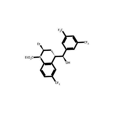 CCOC(=O)N1c2ccc(C(F)(F)F)cc2[C@@H]([C@H](O)c2cc(C(F)(F)F)cc(C(F)(F)F)c2)C[C@@H]1CC